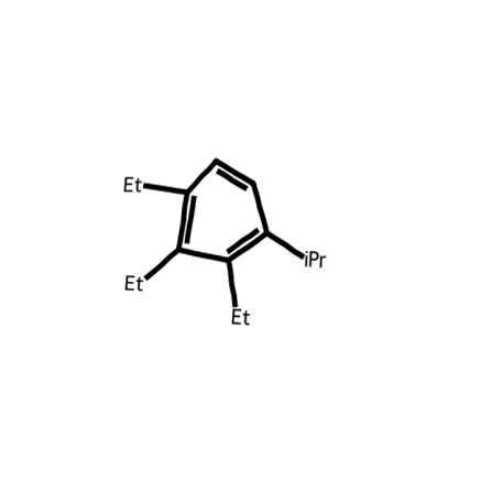 CCc1ccc(C(C)C)c(CC)c1CC